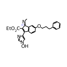 CCOC(=O)C1=C(c2cn(O)cn2)c2ccc(OCCCc3ccccc3)cc2/C1=N\C